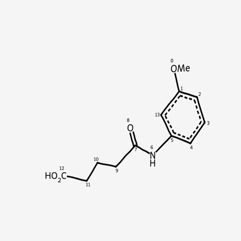 COc1cccc(NC(=O)CCCC(=O)O)c1